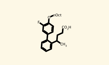 CCCCCCCCOc1ccc(-c2ccccc2C(C)CCC(=O)O)cc1F